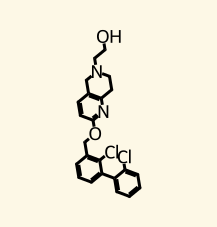 OCCN1CCc2nc(OCc3cccc(-c4ccccc4Cl)c3Cl)ccc2C1